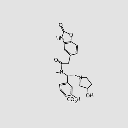 CN(C(=O)Cc1ccc2oc(=O)[nH]c2c1)[C@H](CN1CC[C@H](O)C1)c1cccc(C(=O)O)c1